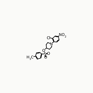 Cc1ccc(S(=O)(=O)OC2CCN(c3ccc([N+](=O)[O-])cc3Cl)CC2)cc1